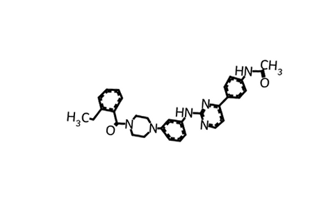 CCc1ccccc1C(=O)N1CCN(c2cccc(Nc3nccc(-c4ccc(NC(C)=O)cc4)n3)c2)CC1